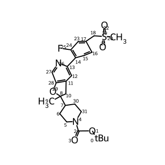 CC(C)(C)OC(=O)N1CCC(C2(C)Cc3cc(-c4ccc(CS(C)(=O)=O)cc4F)ncc3O2)CC1